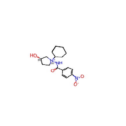 O=C(N[N@@+]1(C2CCCCC2)CC[C@@H](O)C1)c1ccc([N+](=O)[O-])cc1